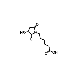 O=C(O)CCCCCN1C(=O)CC(S)C1=O